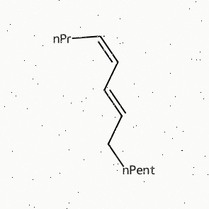 CCC/[C]=C\C=C\CCCCCC